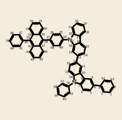 c1ccc(-c2ccc3c(c2)c2cc(-c4ccc5c6ccccc6n(-c6ccc(-c7c8ccccc8c(-c8ccccc8)c8ccccc78)cc6)c5c4)ccc2n3-c2ccccc2)cc1